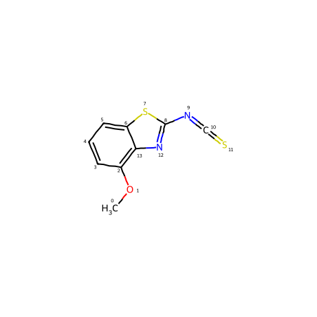 COc1cccc2sc(N=C=S)nc12